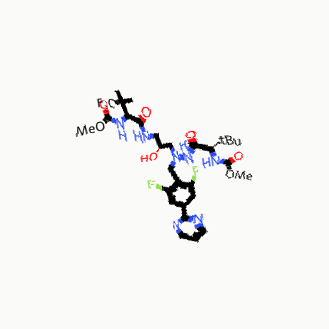 COC(=O)NC(C(=O)NC[C@@H](O)CN(Cc1c(F)cc(-c2ncccn2)cc1F)NC(=O)[C@@H](NC(=O)OC)C(C)(C)C)C(C)(C)C(F)(F)F